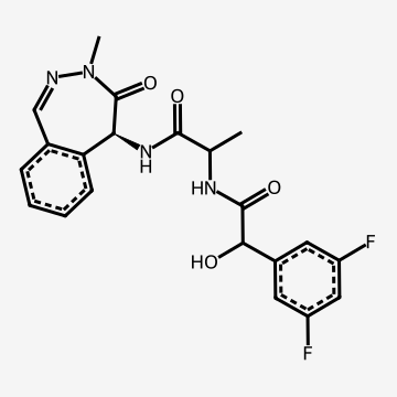 CC(NC(=O)C(O)c1cc(F)cc(F)c1)C(=O)N[C@@H]1C(=O)N(C)N=Cc2ccccc21